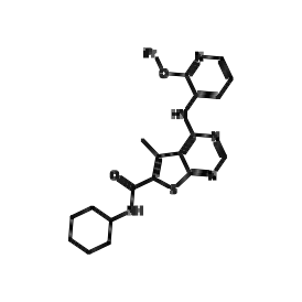 Cc1c(C(=O)NC2CCCCC2)sc2ncnc(Nc3cccnc3OC(C)C)c12